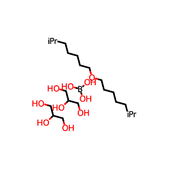 CC(C)CCCCCOCCCCCC(C)C.OB(O)O.OCC(O)CO.OCC(O)CO